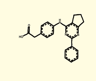 O=C(O)Cc1ccc(Nc2nc(-c3ccccc3)nc3c2CCC3)cc1